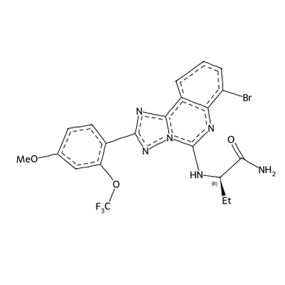 CC[C@@H](Nc1nc2c(Br)cccc2c2nc(-c3ccc(OC)cc3OC(F)(F)F)nn12)C(N)=O